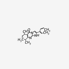 C/C=C\C(=C/C)c1cn2c(=O)c(C(C)I)c(C(C)C)nc2[nH]1